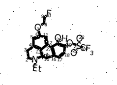 CCN1CCc2cc(OCCF)cc3c2[C@H]1Cc1ccc(OS(=O)(=O)C(F)(F)F)c(O)c1-3